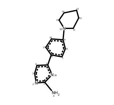 Nc1nccc(-c2ccc(N3CCCCC3)cc2)n1